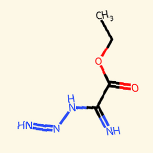 CCOC(=O)C(=N)NN=N